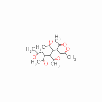 CC(=O)CC(C(C)=O)C(C(C)=O)C(C(C)=O)C(CC(C)=O)C(C)=O